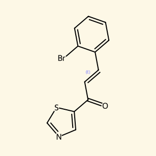 O=C(/C=C/c1ccccc1Br)c1cncs1